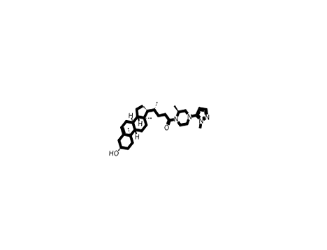 C[C@H](CCC(=O)N1CCN(c2ccnn2C)C[C@@H]1C)[C@H]1CC[C@H]2[C@@H]3CC=C4C[C@@H](O)CC[C@]4(C)[C@H]3CC[C@]12C